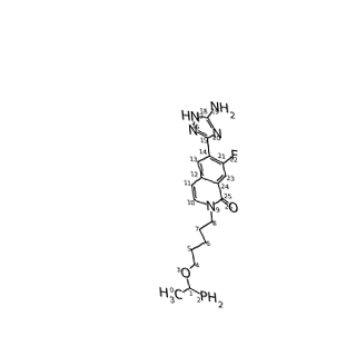 CC(P)OCCCCCn1ccc2cc(-c3n[nH]c(N)n3)c(F)cc2c1=O